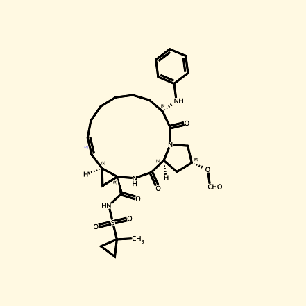 CC1(S(=O)(=O)NC(=O)[C@@]23C[C@H]2/C=C\CCCCC[C@H](Nc2ccccc2)C(=O)N2C[C@H](OC=O)C[C@H]2C(=O)N3)CC1